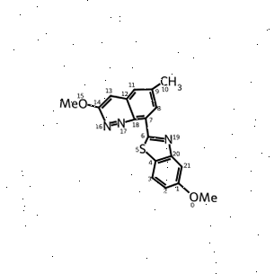 COc1ccc2sc(-c3cc(C)cc4cc(OC)nnc34)nc2c1